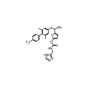 Cc1cc(SC(c2ccc(OC(=O)NCc3nnn[nH]3)s2)C(C)(C)C)cc(C)c1-c1ccc(C(F)(F)F)cc1